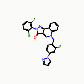 O=c1c2cn(Cc3ccc(-n4cccn4)cc3F)c3ccccc3c-2nn1-c1c(F)cccc1Br